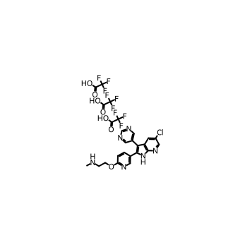 CNCCOc1ccc(-c2[nH]c3ncc(Cl)cc3c2-c2cncnc2)cn1.O=C(O)C(F)(F)F.O=C(O)C(F)(F)F.O=C(O)C(F)(F)F